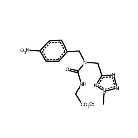 CCOC(=O)CNC(=O)N(Cc1ccc([N+](=O)[O-])cc1)Cc1nnn(C)n1